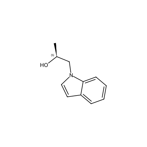 C[C@H](O)Cn1ccc2ccccc21